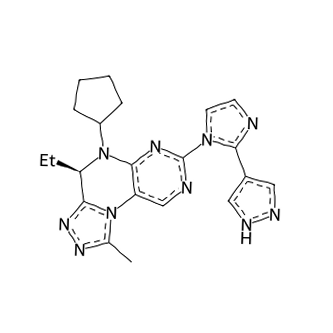 CC[C@@H]1c2nnc(C)n2-c2cnc(-n3ccnc3-c3cn[nH]c3)nc2N1C1CCCC1